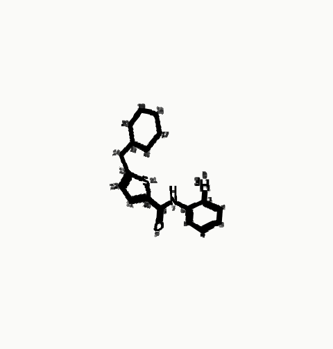 [3H]c1ccccc1NC(=O)c1ccc(CC2CCCCC2)s1